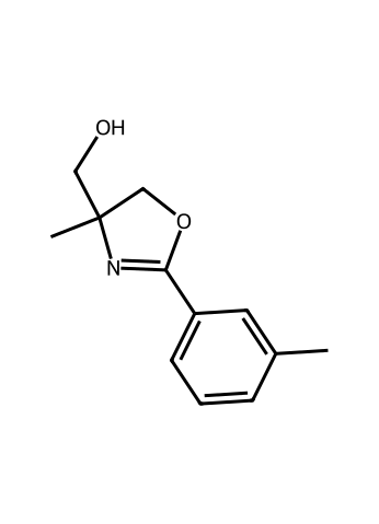 Cc1cccc(C2=NC(C)(CO)CO2)c1